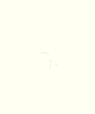 O=C(O)/C(=C\O)C1CC1